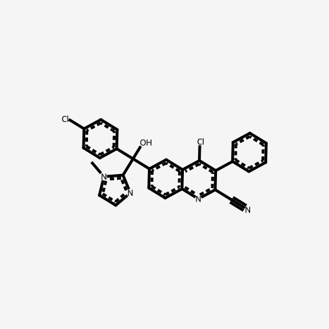 Cn1ccnc1C(O)(c1ccc(Cl)cc1)c1ccc2nc(C#N)c(-c3ccccc3)c(Cl)c2c1